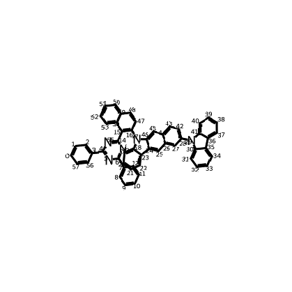 c1ccc(-c2nc(-c3ccccc3)nc(-c3c(-n4c5ccccc5c5cc6cc(-n7c8ccccc8c8ccccc87)ccc6cc54)ccc4ccccc34)n2)cc1